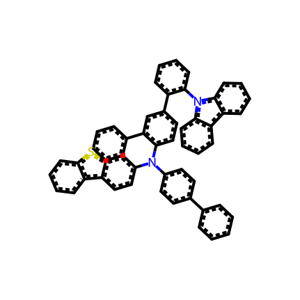 c1ccc(-c2ccc(N(c3ccc4c(c3)sc3ccccc34)c3ccc(-c4ccccc4-n4c5ccccc5c5ccccc54)cc3-c3ccccc3)cc2)cc1